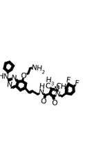 Cc1c(C(=O)NC/C=C/c2cc(OCCN)c3nc(Nc4ccccc4)ncc3c2)c(=O)n(Cc2ccc(F)c(F)c2)n1C